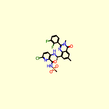 Cc1cc([C@@H](C)Nc2ccc(Cl)nc2C(=O)NS(C)(=O)=O)c2nc(-c3cccc(F)c3F)n(C)c(=O)c2c1